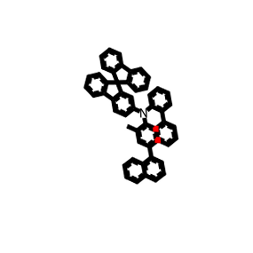 Cc1cc(-c2cccc3ccccc23)ccc1N(c1ccc2c(c1)C1(c3ccccc3-c3ccccc31)c1ccccc1-2)c1ccccc1-c1ccccc1